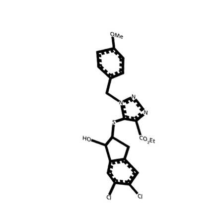 CCOC(=O)c1nnn(Cc2ccc(OC)cc2)c1SC1Cc2cc(Cl)c(Cl)cc2C1O